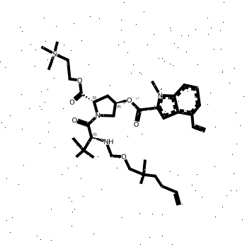 C=CCCC(C)(C)COCN[C@H](C(=O)N1C[C@H](OC(=O)c2cc3c(C=C)cccc3n2C)C[C@H]1C(=O)OCC[Si](C)(C)C)C(C)(C)C